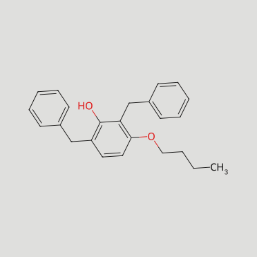 CCCCOc1ccc(Cc2ccccc2)c(O)c1Cc1ccccc1